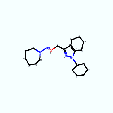 C1CCC(n2nc(CONN3CCCCCC3)c3c2CCCC3)CC1